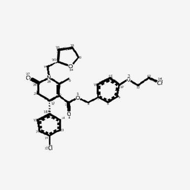 CC1=C(C(=O)OCc2ccc(OCCCl)cc2)[C@H](c2ccc(Cl)cc2)CC(=O)N1C[C@H]1CCCO1